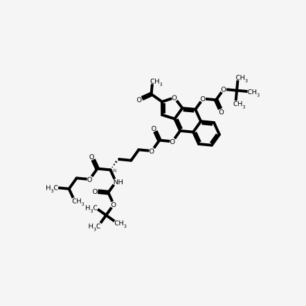 CC(=O)c1cc2c(OC(=O)OCCC[C@H](NC(=O)OC(C)(C)C)C(=O)OCC(C)C)c3ccccc3c(OC(=O)OC(C)(C)C)c2o1